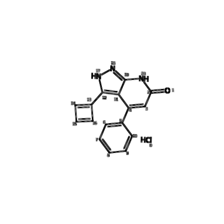 Cl.O=c1cc(-c2ccccc2)c2c(C3=CC=C3)[nH]nc2[nH]1